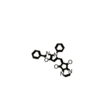 O=C1C(=Cc2cc3oc(-c4ccccc4)nc3n2-c2ccccc2)C(=O)c2nccnc21